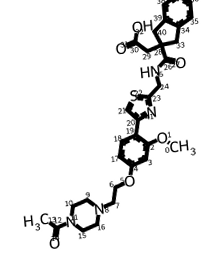 COc1cc(OCCN2CCN(C(C)=O)CC2)ccc1-c1csc(CNC(=O)C2(CC(=O)O)Cc3ccccc3C2)n1